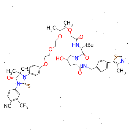 Cc1ncsc1-c1ccc(CNC(=O)[C@@H]2C[C@@H](O)CN2C(=O)C(NC(=O)COC(C)C(C)OCCOCCOc2ccc(N3C(=S)N(c4ccc(C#N)c(C(F)(F)F)c4)C(=O)C3(C)C)cc2)C(C)(C)C)cc1